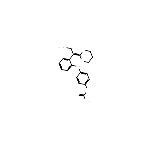 CCC(=C1SCCCS1)c1ccccc1Oc1ccc(OC(C)=O)cc1